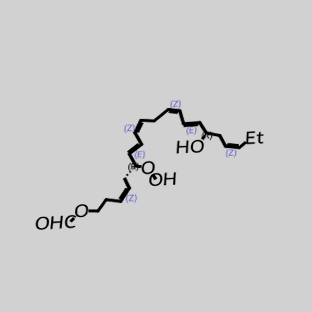 CC/C=C\C[C@@H](O)/C=C/C=C\C/C=C\C=C\[C@@H](C/C=C\CCOC=O)OO